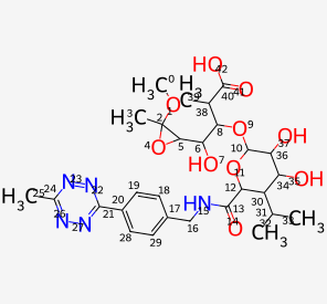 COC1(C)OC1C(O)C(OC1OC(C(=O)NCc2ccc(-c3nnc(C)nn3)cc2)C(C(C)C)C(O)C1O)C(C)C(=O)O